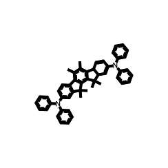 Cc1c(C)c2c(c3c1-c1ccc(N(c4ccccc4)c4ccccc4)cc1C3(C)C)C(C)(C)C1C=C(N(c3ccccc3)c3ccccc3)C=CC21